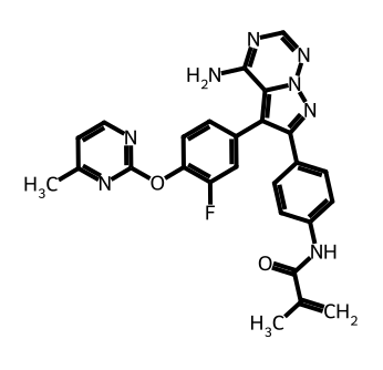 C=C(C)C(=O)Nc1ccc(-c2nn3ncnc(N)c3c2-c2ccc(Oc3nccc(C)n3)c(F)c2)cc1